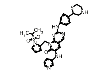 CC(C)S(=O)(=O)n1cccc1Cn1c(=O)c(Nc2cccnc2)cc2cnc(Nc3ccc(C4CNCCS4)cc3)nc21